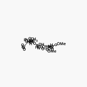 COc1ccc(C2=CN3C(=O)c4cc(OC)c(OCCCOc5cc6c(cc5OC)C(O)N5C=C(c7ccc(NC(=O)[C@H](C)NC(=O)[C@@H](NC(=O)CCCCCN8C(=O)C=CC8=O)C(C)C)cc7)C[C@H]5C=N6)cc4N=C[C@@H]3C2)cc1